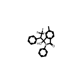 Cc1ccc2c(c1)C(O)(C(c1ccccc1)C(F)(F)F)N(c1ccccc1)C2=O